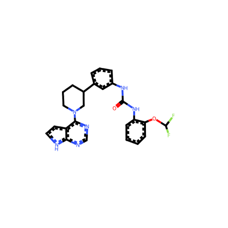 O=C(Nc1cccc(C2CCCN(c3ncnc4[nH]ccc34)C2)c1)Nc1ccccc1OC(F)F